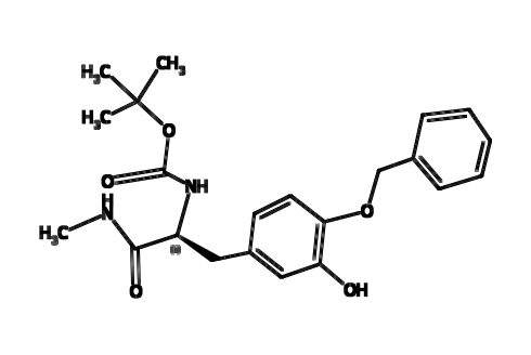 CNC(=O)[C@H](Cc1ccc(OCc2ccccc2)c(O)c1)NC(=O)OC(C)(C)C